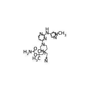 Cn1cc(Nc2nccc(N3CCC(CC#N)(CC(C)(C)OC(N)=O)CC3)n2)cn1